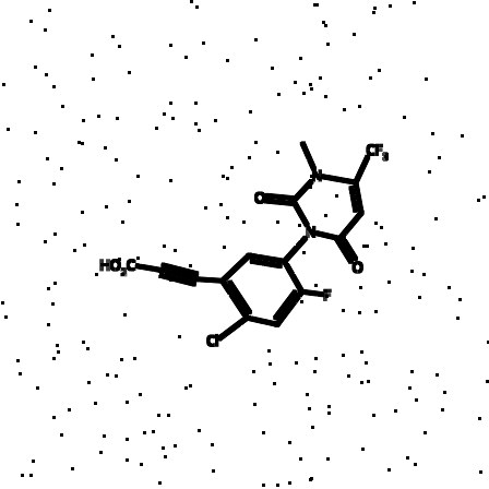 Cn1c(C(F)(F)F)cc(=O)n(-c2cc(C#CC(=O)O)c(Cl)cc2F)c1=O